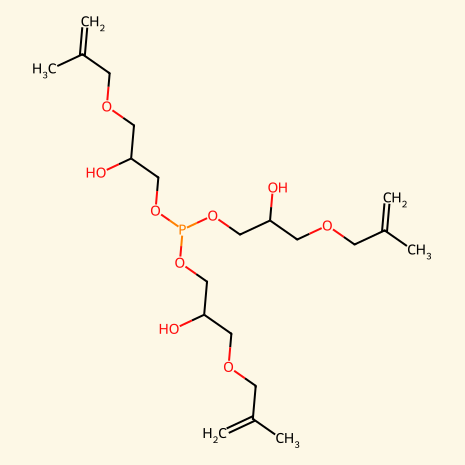 C=C(C)COCC(O)COP(OCC(O)COCC(=C)C)OCC(O)COCC(=C)C